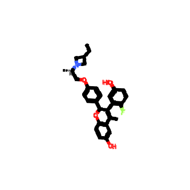 CCC1CN([C@@H](C)COc2ccc(C3Oc4ccc(O)cc4C(C)=C3c3cc(O)ccc3F)cc2)C1